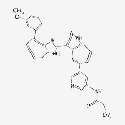 CCC(=O)Nc1cncc(-c2ccc3[nH]nc(-c4nc5c(-c6cccc(OC)c6)cccc5[nH]4)c3n2)c1